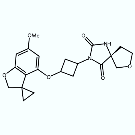 COc1cc2c(c(OC3CC(N4C(=O)N[C@@]5(CCOC5)C4=O)C3)c1)C1(CC1)CO2